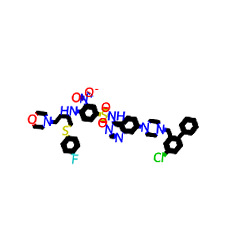 O=[N+]([O-])c1cc(S(=O)(=O)Nc2ncnc3cc(N4CCN(Cc5cc(Cl)ccc5-c5ccccc5)CC4)ccc23)ccc1NC(CCN1CCOCC1)CSc1ccc(F)cc1